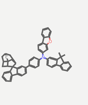 CC1(C)c2ccccc2-c2ccc(N(c3ccc(-c4ccc5c(c4)C4(c6ccccc6-5)C5CC6CC7CC4C7(C6)C5)cc3)c3ccc4c(c3)oc3ccccc34)cc21